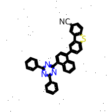 N#Cc1ccc2sc3ccc(-c4ccc(-c5nc(-c6ccccc6)nc(-c6ccccc6)n5)c5ccccc45)cc3c2c1